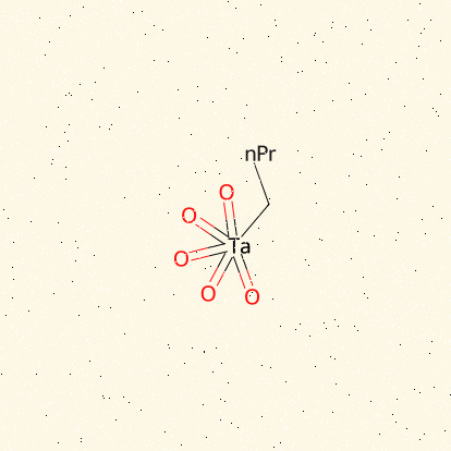 CCC[CH2][Ta](=[O])(=[O])(=[O])(=[O])=[O]